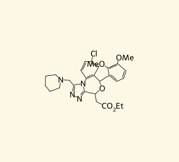 CCOC(=O)CC1OC(c2cccc(OC)c2OC)c2cc(Cl)ccc2-n2c(CN3CCCCC3)nnc21